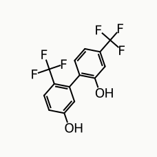 Oc1ccc(C(F)(F)F)c(-c2ccc(C(F)(F)F)cc2O)c1